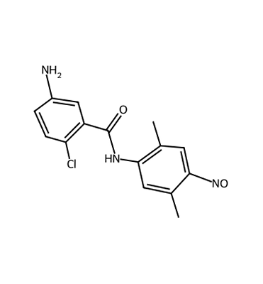 Cc1cc(NC(=O)c2cc(N)ccc2Cl)c(C)cc1N=O